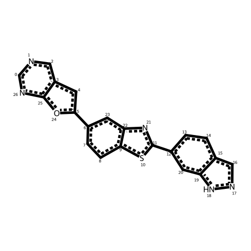 c1ncc2cc(-c3ccc4sc(-c5ccc6cn[nH]c6c5)nc4c3)oc2n1